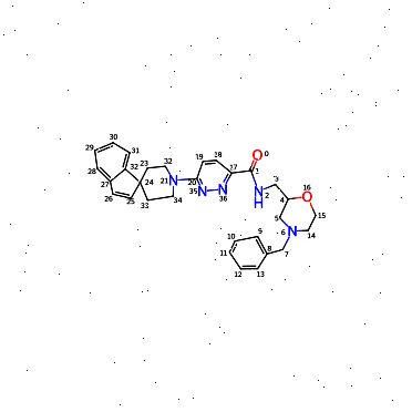 O=C(NCC1CN(Cc2ccccc2)CCO1)c1ccc(N2CCC3(C=Cc4ccccc43)CC2)nn1